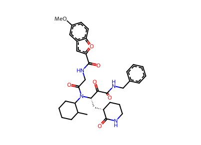 COc1ccc2oc(C(=O)NCC(=O)N(C3CCCCC3C)[C@@H](C[C@@H]3CCCNC3=O)C(=O)C(=O)NCc3ccccc3)cc2c1